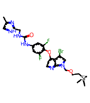 Cc1c[nH]c(CNC(=O)Nc2cc(F)c(Oc3ccnc4c3c(Br)cn4COCC[Si](C)(C)C)c(F)c2)n1